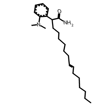 CCCCCCC=CCCCCCCC(C(N)=O)c1ccccc1N(C)C